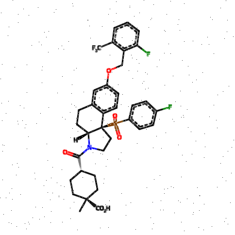 C[C@]1(C(=O)O)CC[C@H](C(=O)N2CC[C@@]3(S(=O)(=O)c4ccc(F)cc4)c4ccc(OCc5c(F)cccc5C(F)(F)F)cc4CC[C@@H]23)CC1